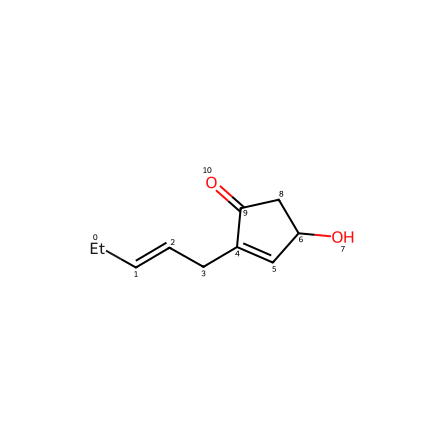 CC/C=C/CC1=CC(O)CC1=O